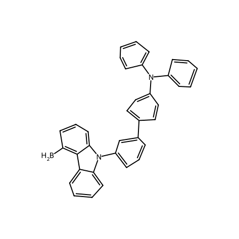 Bc1cccc2c1c1ccccc1n2-c1cccc(-c2ccc(N(c3ccccc3)c3ccccc3)cc2)c1